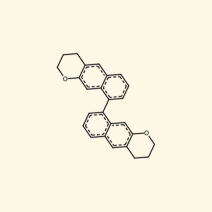 c1cc(-c2cccc3cc4c(cc23)OCCC4)c2cc3c(cc2c1)CCCO3